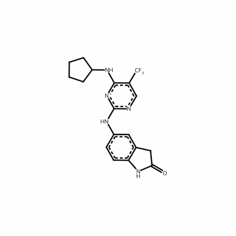 O=C1Cc2cc(Nc3ncc(C(F)(F)F)c(NC4CCCC4)n3)ccc2N1